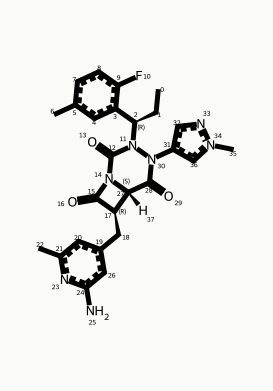 CC[C@H](c1cc(C)ccc1F)N1C(=O)N2C(=O)[C@H](Cc3cc(C)nc(N)c3)[C@H]2C(=O)N1c1cnn(C)c1